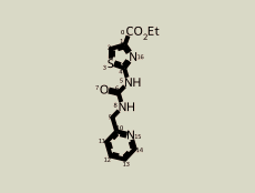 CCOC(=O)c1csc(NC(=O)NCc2ccccn2)n1